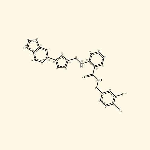 O=C(NCc1ccc(I)c(F)c1)c1cccnc1NCc1ccc(-c2cnc3[nH]ccc3c2)s1